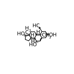 C#CC1C[C@@H](O)CC2=C[C@@H](O)[C@H]3[C@@H]4CC[C@@H](O)[C@@]4(C)CC[C@@H]3[C@]21C